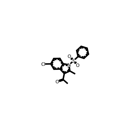 CC(=O)c1c(C)n(S(=O)(=O)c2ccccc2)c2ccc(Cl)cc12